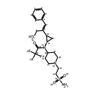 CC/C(=C\c1ccccc1)C1C[C@H]1N(C(=O)C(F)(F)F)C1CCN(CCS(N)(=O)=O)CC1